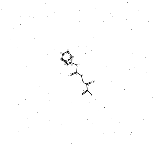 C=C(C)C(=O)OCC(=O)Oc1cc2ccc1o2